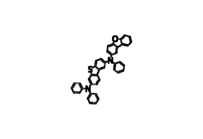 c1ccc(N(c2ccccc2)c2ccc3c(c2)sc2ccc(N(c4ccccc4)c4ccc5oc6ccccc6c5c4)cc23)cc1